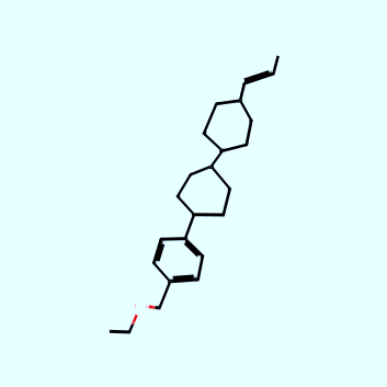 CC=CC1CCC(C2CCC(c3ccc(COCC)cc3)CC2)CC1